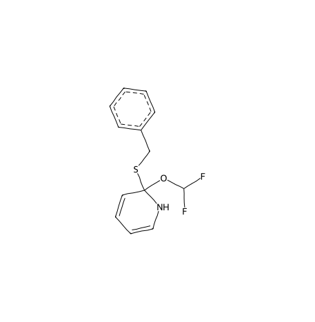 FC(F)OC1(SCc2ccccc2)C=CC=CN1